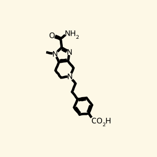 Cn1c(C(N)=O)nc2c1CCN(CCc1ccc(C(=O)O)cc1)C2